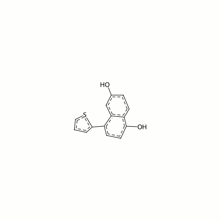 Oc1ccc2c(O)ccc(-c3cccs3)c2c1